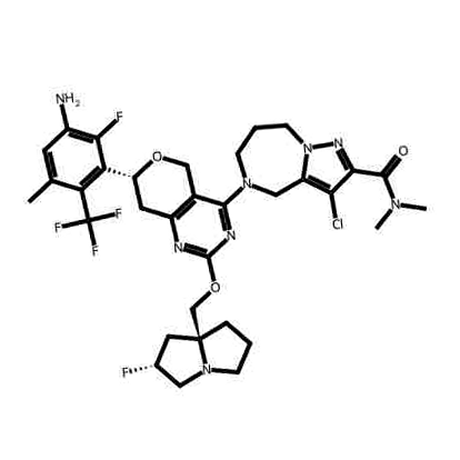 Cc1cc(N)c(F)c([C@H]2Cc3nc(OC[C@@]45CCCN4C[C@H](F)C5)nc(N4CCCn5nc(C(=O)N(C)C)c(Cl)c5C4)c3CO2)c1C(F)(F)F